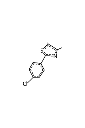 Cc1[c]sc(-c2ccc(Cl)cc2)n1